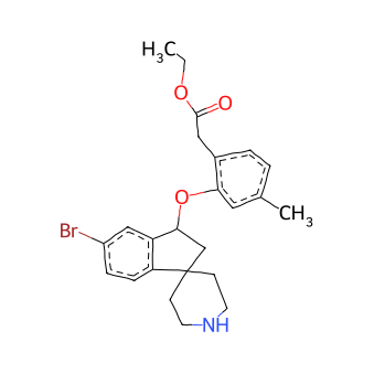 CCOC(=O)Cc1ccc(C)cc1OC1CC2(CCNCC2)c2ccc(Br)cc21